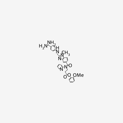 COc1ccccc1OC(=O)CCN(C(=O)c1ccc2c(c1)nc(CNc1ccc(C(N)N)cc1)n2C)c1ccccn1